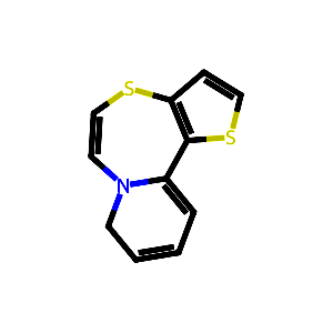 C1=CCN2C=CSc3ccsc3C2=C1